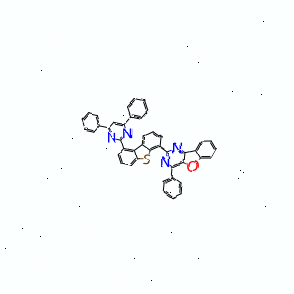 c1ccc(-c2cc(-c3ccccc3)nc(-c3cccc4sc5c(-c6nc(-c7ccccc7)c7oc8ccccc8c7n6)cccc5c34)n2)cc1